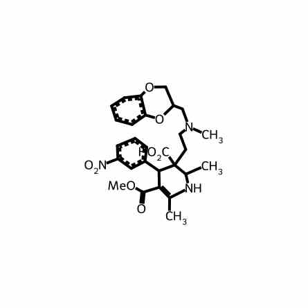 COC(=O)C1=C(C)NC(C)C(CCN(C)CC2COc3ccccc3O2)(C(=O)O)C1c1cccc([N+](=O)[O-])c1